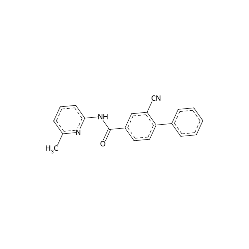 Cc1cccc(NC(=O)c2ccc(-c3ccccc3)c(C#N)c2)n1